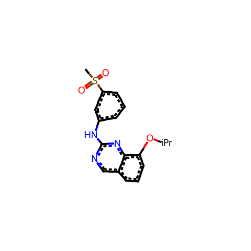 CC(C)Oc1cccc2cnc(Nc3cccc(S(C)(=O)=O)c3)nc12